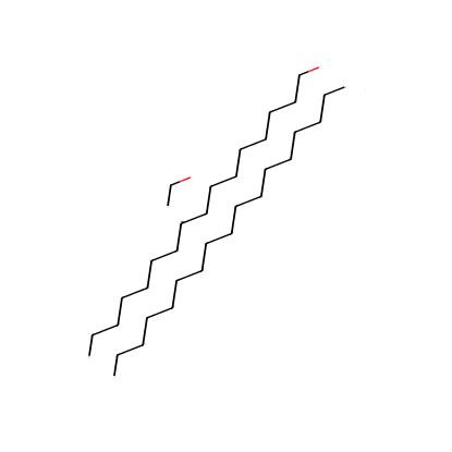 CCCCCCCCCCCCCCCCC.CCCCCCCCCCCCCCCCO.CCO